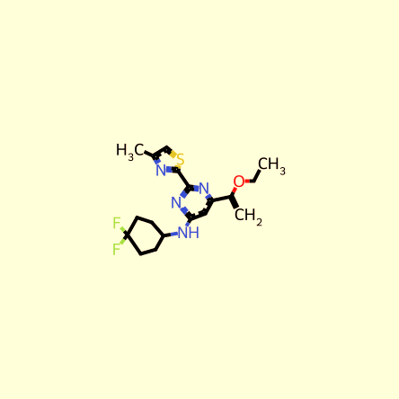 C=C(OCC)c1cc(NC2CCC(F)(F)CC2)nc(-c2nc(C)cs2)n1